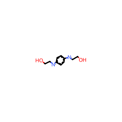 OCC[N]c1ccc([N]CCO)cc1